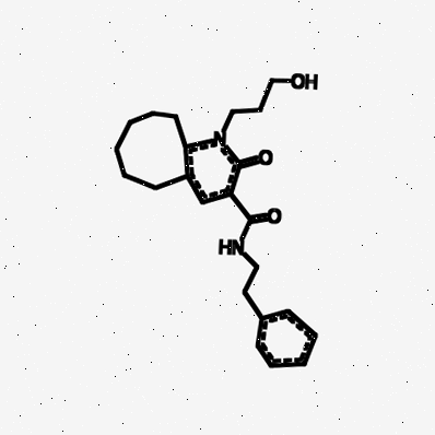 O=C(NCCc1ccccc1)c1cc2c(n(CCCO)c1=O)CCCCCC2